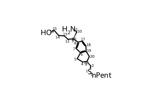 CCCCCSC[C@H]1CCc2cc([C@H](CN)CCCCO)ccc2C1